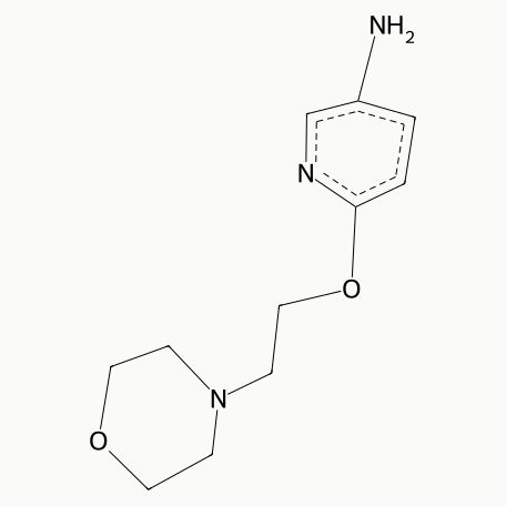 Nc1ccc(OCCN2CCOCC2)nc1